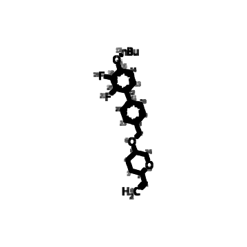 C=CC1CCC(OCc2ccc(-c3ccc(OCCCC)c(F)c3F)cc2)CO1